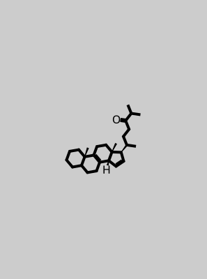 CC(C)C(=O)CCC(C)[C@H]1C=C[C@@H]2C3=C(CC[C@@]21C)[C@@]1(C)CCCCC1CC3